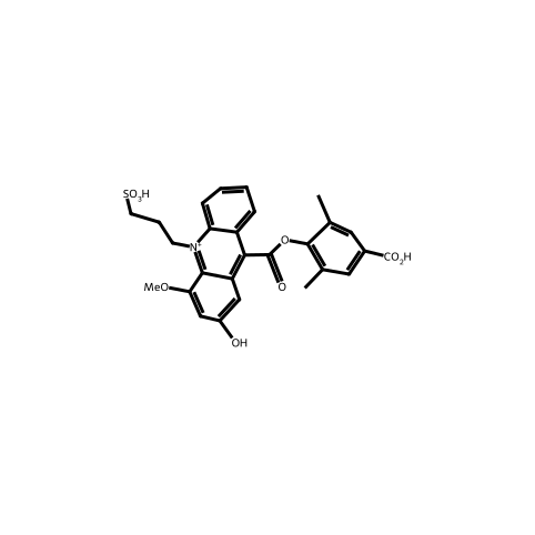 COc1cc(O)cc2c(C(=O)Oc3c(C)cc(C(=O)O)cc3C)c3ccccc3[n+](CCCS(=O)(=O)O)c12